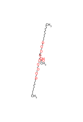 CCC(=O)O.CCCCCCCCCCCCOCCOCCOCCOCCOCCOCCOCCOCCOCCCCCCCCCCCC